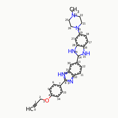 C#CCOc1ccc(-c2nc3ccc(C4Nc5ccc(N6CCN(C)CC6)cc5N4)cc3[nH]2)cc1